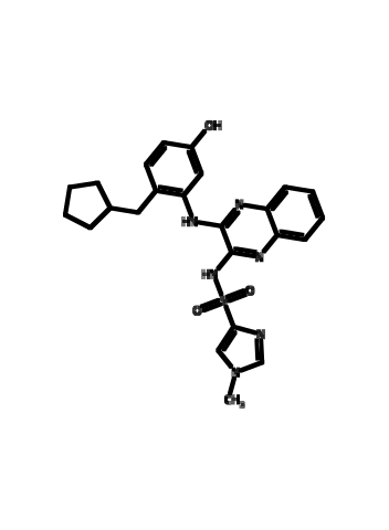 Cn1cnc(S(=O)(=O)Nc2nc3ccccc3nc2Nc2cc(O)ccc2CC2CCCC2)c1